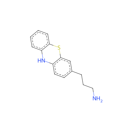 NCCCc1ccc2c(c1)Sc1ccccc1N2